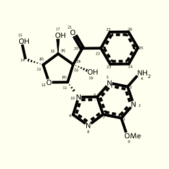 COc1nc(N)nc2c1ncn2[C@@H]1O[C@H](CO)[C@@H](O)[C@@]1(O)C(=O)c1ccccc1